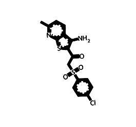 Cc1ccc2c(N)c(C(=O)CS(=O)(=O)c3ccc(Cl)cc3)sc2n1